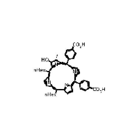 CCCCCCc1c2nc(c(-c3ccc(C(=O)O)cc3)c3ccc([nH]3)c(-c3ccc(C(=O)O)cc3)c3nc(c(CCCCCC)c4ccc1[nH]4)C(O)[C@@H]3C)C=C2